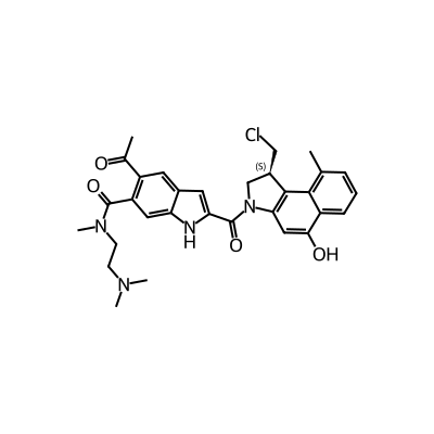 CC(=O)c1cc2cc(C(=O)N3C[C@@H](CCl)c4c3cc(O)c3cccc(C)c43)[nH]c2cc1C(=O)N(C)CCN(C)C